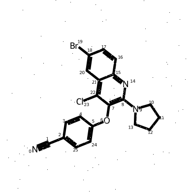 N#Cc1ccc(Oc2c(N3CCCC3)nc3ccc(Br)cc3c2Cl)cc1